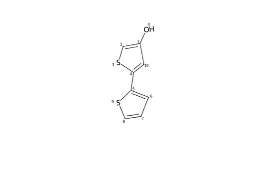 Oc1csc(-c2cccs2)c1